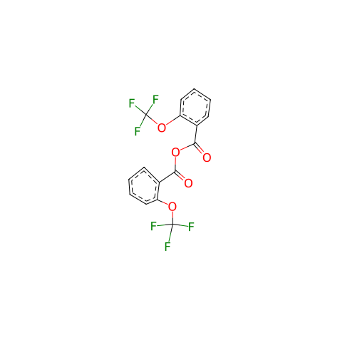 O=C(OC(=O)c1ccccc1OC(F)(F)F)c1ccccc1OC(F)(F)F